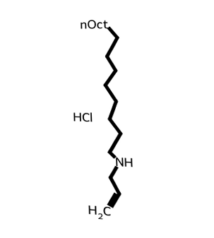 C=CCNCCCCCCCCCCCCCCCC.Cl